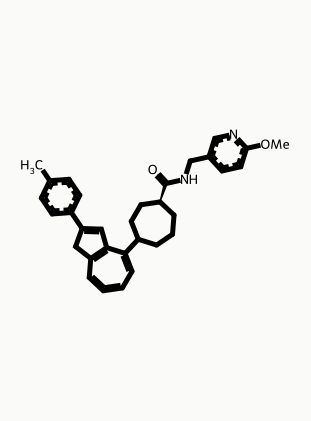 COc1ccc(CNC(=O)[C@H]2CCCC(C3=CC=C=CC4=C3C=C(c3ccc(C)cc3)C4)CC2)cn1